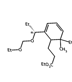 CCOCO[C@H](CC)C1=CC=CC(C)(CC)C1CCC(=O)OCC